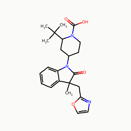 CC1(Cc2ncco2)C(=O)N(C2CCN(C(=O)O)C(C(C)(C)C)C2)c2ccccc21